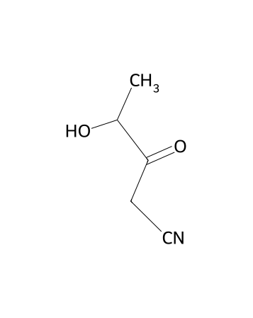 CC(O)C(=O)CC#N